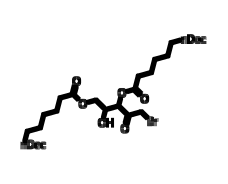 CCCCCCCCCCCCCCCC(=O)OCC(O)C(OC(=O)CCCCCCCCCCCCCCC)C(=O)CBr